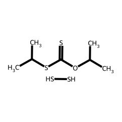 CC(C)OC(=S)SC(C)C.SS